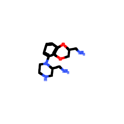 NCC1COc2c(cccc2N2CCNCC2CN)O1